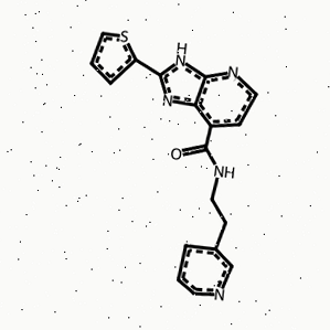 O=C(NCCc1cccnc1)c1ccnc2[nH]c(-c3cccs3)nc12